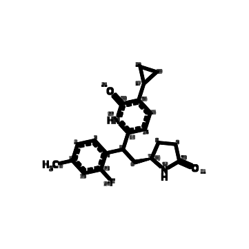 Cc1ccc(C(C[C@H]2CCC(=O)N2)c2ccc(C3CC3)c(=O)[nH]2)c(F)c1